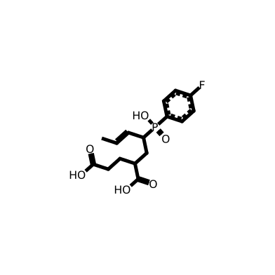 CC=CC(CC(CCC(=O)O)C(=O)O)P(=O)(O)c1ccc(F)cc1